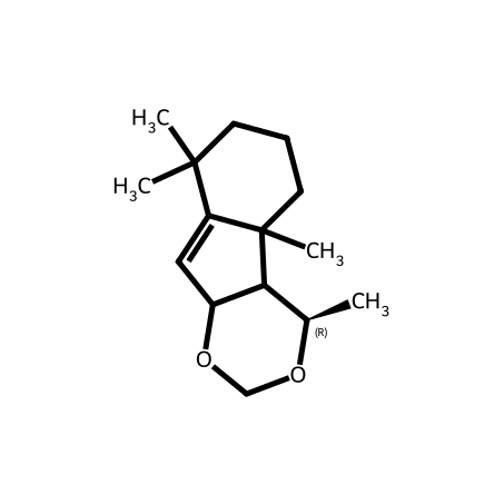 C[C@H]1OCOC2C=C3C(C)(C)CCCC3(C)C21